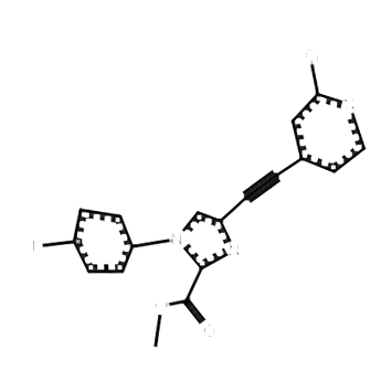 COC(=O)c1nc(C#Cc2ccnc(Cl)c2)cn1-c1ccc(F)cc1